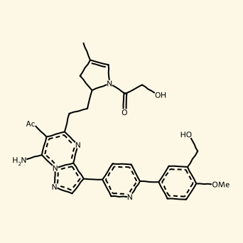 COc1ccc(-c2ccc(-c3cnn4c(N)c(C(C)=O)c(CCC5CC(C)=CN5C(=O)CO)nc34)cn2)cc1CO